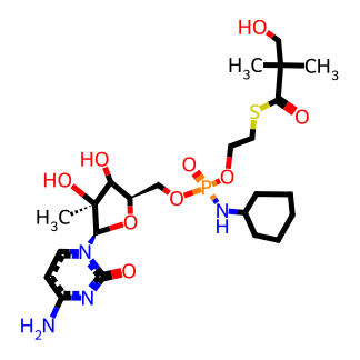 CC(C)(CO)C(=O)SCCOP(=O)(NC1CCCCC1)OC[C@H]1O[C@@H](n2ccc(N)nc2=O)[C@@](C)(O)C1O